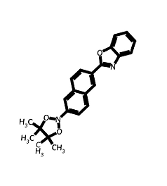 CC1(C)ON(c2ccc3cc(-c4nc5ccccc5o4)ccc3c2)OC1(C)C